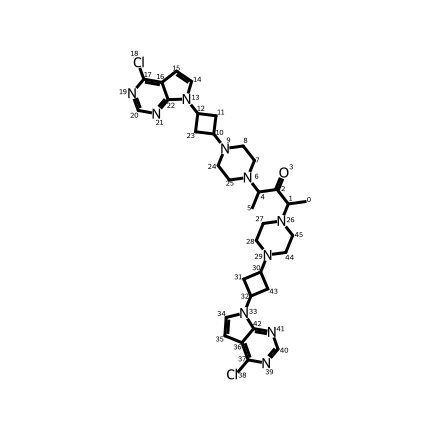 CC(C(=O)C(C)N1CCN(C2CC(n3ccc4c(Cl)ncnc43)C2)CC1)N1CCN(C2CC(n3ccc4c(Cl)ncnc43)C2)CC1